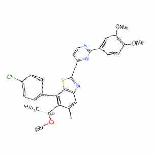 COc1ccc(-c2nccc(-c3nc4cc(C)c([C@H](OC(C)(C)C)C(=O)O)c(-c5ccc(Cl)cc5)c4s3)n2)cc1OC